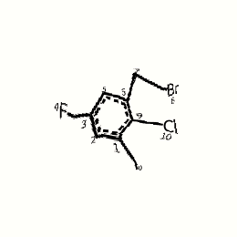 Cc1cc(F)cc(CBr)c1Cl